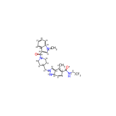 Cc1c(C(=O)NCC(F)(F)F)ccc2nn(CC3CCN(C(=O)c4cn(C)c5ccccc45)CC3)cc12